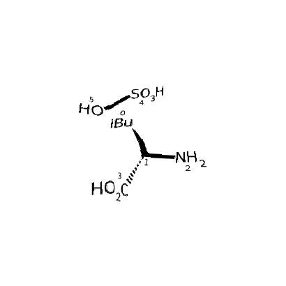 CC[C@H](C)[C@H](N)C(=O)O.O=S(=O)(O)O